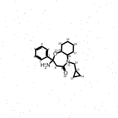 NC1(c2ccccc2)CC(=O)N(CC2CC2)C2CCCCC2O1